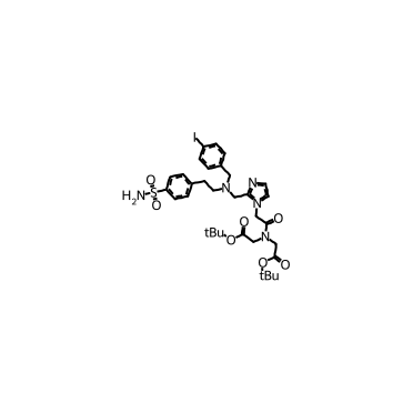 CC(C)(C)OC(=O)CN(CC(=O)OC(C)(C)C)C(=O)Cn1ccnc1CN(CCc1ccc(S(N)(=O)=O)cc1)Cc1ccc(I)cc1